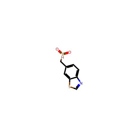 O=[SH](=O)Cc1ccc2n[c]sc2c1